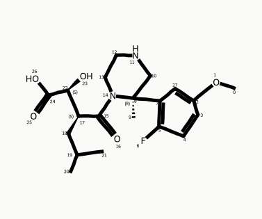 COc1ccc(F)c([C@]2(C)CNCCN2C(=O)[C@@H](CC(C)C)[C@H](O)C(=O)O)c1